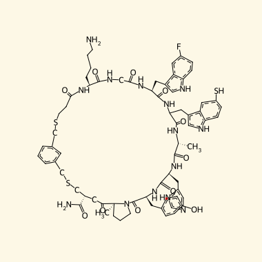 C[C@H]1NC(=O)C(Cc2c[nH]c3ccc(S)cc23)NC(=O)[C@H](Cc2c[nH]c3ccc(F)cc23)NC(=O)CNC(=O)[C@H](CCCCN)NC(=O)CCSCc2cccc(c2)CSC[C@@H](C(N)=O)CC(=O)[C@]2(C)CCCN2C(=O)[C@H](Cc2ccc(O)cc2)NC(=O)[C@H](Cc2cnc[nH]2)NC1=O